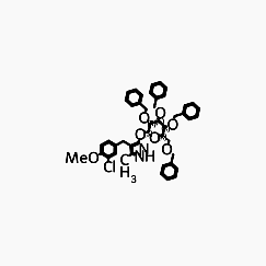 COc1ccc(Cc2c(O[C@@H]3O[C@H](COCc4ccccc4)[C@@H](OCc4ccccc4)[C@H](OCc4ccccc4)[C@H]3OCc3ccccc3)n[nH]c2C)cc1Cl